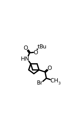 CC(Br)C(=O)C12CCC(NC(=O)OC(C)(C)C)(C1)C2